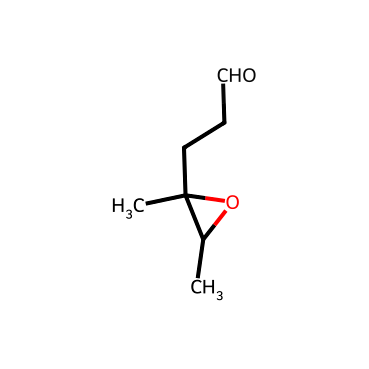 CC1OC1(C)CCC=O